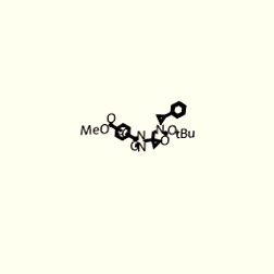 COC(=O)C12CCC(c3nc(C4(CN(C(=O)OC(C)(C)C)[C@H]5CC5c5ccccc5)CC4)no3)(CC1)CC2